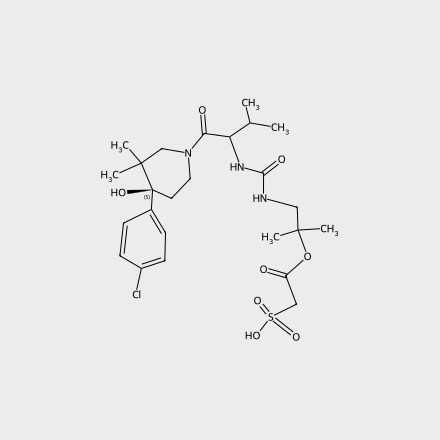 CC(C)C(NC(=O)NCC(C)(C)OC(=O)CS(=O)(=O)O)C(=O)N1CC[C@](O)(c2ccc(Cl)cc2)C(C)(C)C1